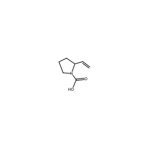 C=CC1CCCN1C(=O)O